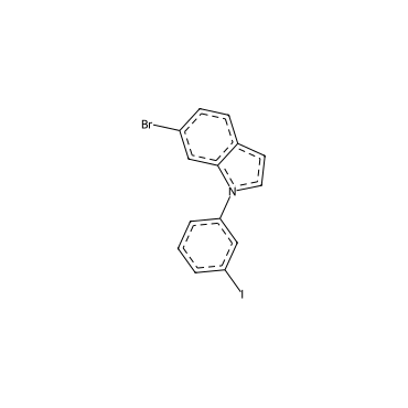 Brc1ccc2ccn(-c3cccc(I)c3)c2c1